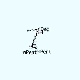 C=CCCCCC(CCCCCCCCCC)NCCCCCCCC(=O)OCCC(CCCCC)CCCCC